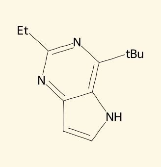 CCc1nc(C(C)(C)C)c2[nH]ccc2n1